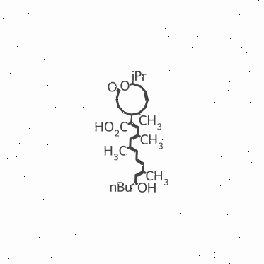 CCCC[C@H](O)C=C(C)C=CC=C(C)C=C(C)C=C(C(=O)O)[C@H]1CCCC(=O)O[C@@H](C(C)C)CC=CC[C@@H]1C